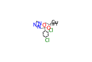 CCCC1COC(Cn2cncn2)(c2ccc(Cl)cc2Cl)O1.[Cu]